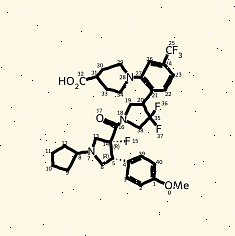 COc1ccc([C@@H]2CN(C3CCCC3)C[C@@]2(F)C(=O)N2CC(c3ccc(C(F)(F)F)cc3N3CCC(C(=O)O)CC3)C(F)(F)C2)cc1